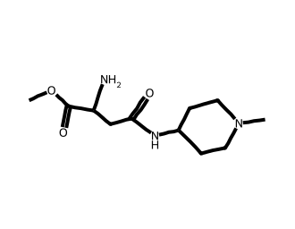 COC(=O)C(N)CC(=O)NC1CCN(C)CC1